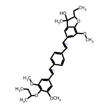 CCC(C)Oc1c(OC)cc(/C=C/c2ccc(/C=C/c3cc(OC)c4c(c3)C(C)(O)C(CC)O4)cc2)cc1OC